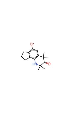 CC1(C)Nc2c(cc(Br)c3c2CCC3)C(C)(C)C1=O